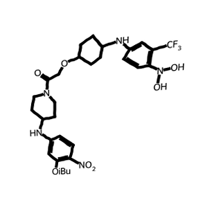 CC(C)COc1cc(NC2CCN(C(=O)COC3CCC(Nc4ccc(N(O)O)c(C(F)(F)F)c4)CC3)CC2)ccc1[N+](=O)[O-]